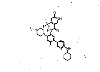 CN1CCN(c2cc(F)c(-c3cnc(NC4CCCCC4)nc3)cc2NC(=O)c2c[nH]c(=O)cc2C(F)(F)F)CC1